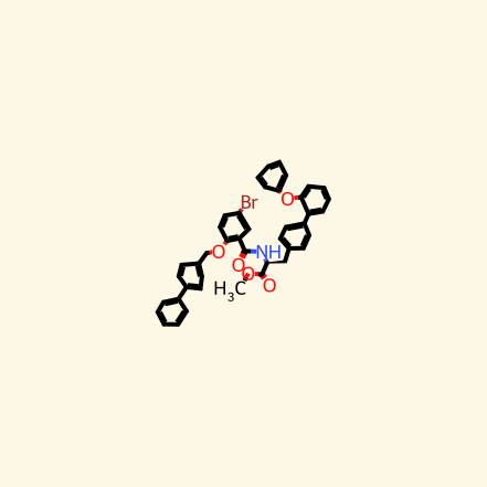 COC(=O)[C@H](Cc1ccc(-c2ccccc2Oc2ccccc2)cc1)NC(=O)c1cc(Br)ccc1OCc1ccc(-c2ccccc2)cc1